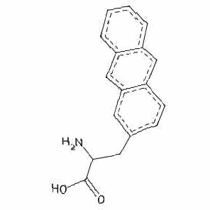 NC(Cc1ccc2cc3ccccc3cc2c1)C(=O)O